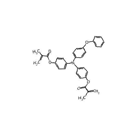 C=C(C)C(=O)Oc1ccc(N(c2ccc(OC(=O)C(=C)C)cc2)c2ccc(Oc3ccccc3)cc2)cc1